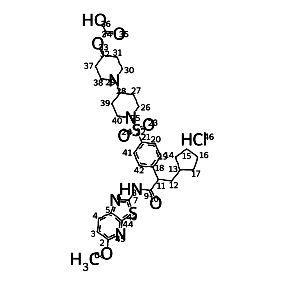 COc1ccc2nc(NC(=O)C(CC3CCCC3)c3ccc(S(=O)(=O)N4CCC(N5CCC(OC(=O)O)CC5)CC4)cc3)sc2n1.Cl